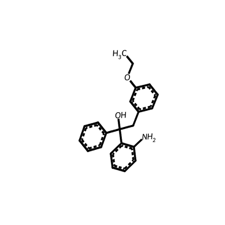 CCOc1cccc(CC(O)(c2ccccc2)c2ccccc2N)c1